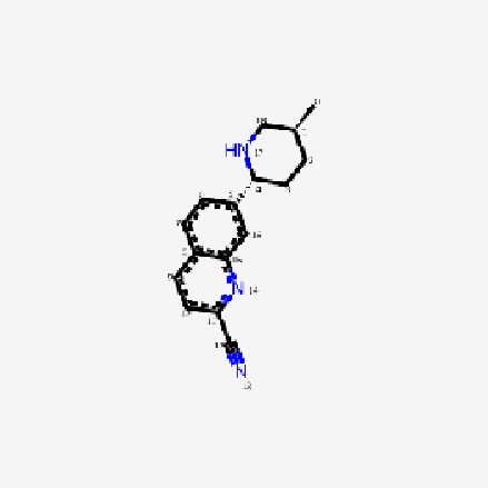 C[C@H]1CC[C@H](c2ccc3ccc(C#N)nc3c2)NC1